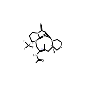 CC(=O)N/C1=C(/C)C[C@@H]2COCCN2c2cc(=O)n3c(n2)N(C1)[C@H](C(F)(F)F)CC3